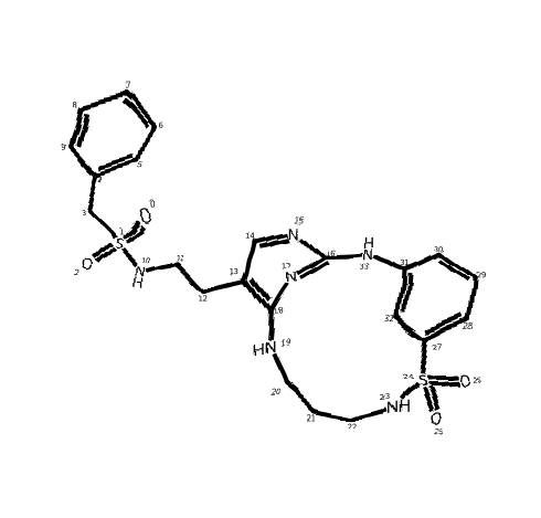 O=S(=O)(Cc1ccccc1)NCCc1cnc2nc1NCCCNS(=O)(=O)c1cccc(c1)N2